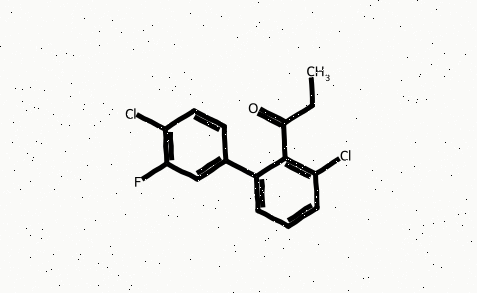 CCC(=O)c1c(Cl)cccc1-c1ccc(Cl)c(F)c1